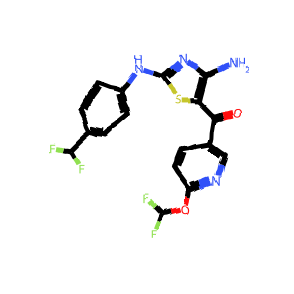 Nc1nc(Nc2ccc(C(F)F)cc2)sc1C(=O)c1ccc(OC(F)F)nc1